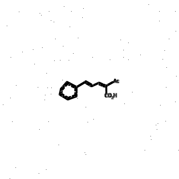 CC(=O)C(=CC=Cc1ccccc1)C(=O)O